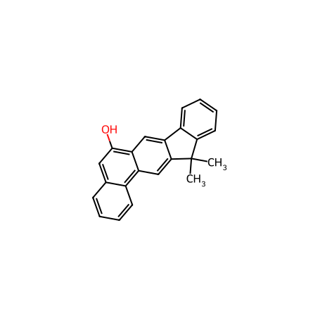 CC1(C)c2ccccc2-c2cc3c(O)cc4ccccc4c3cc21